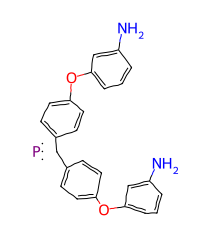 Nc1cccc(Oc2ccc(Cc3ccc(Oc4cccc(N)c4)cc3)cc2)c1.[P]